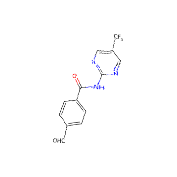 O=Cc1ccc(C(=O)Nc2ncc(C(F)(F)F)cn2)cc1